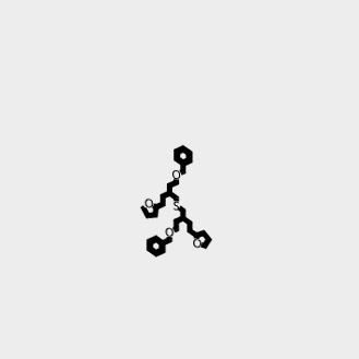 c1ccc(COCCC(CCC2CCCO2)CSCC(CCOCc2ccccc2)CCC2CCCO2)cc1